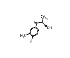 C#CC(C)Nc1ccc(F)c(C)c1